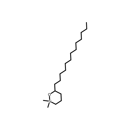 CCCCCCCCCCCCCC1CCC[Si](C)(C)O1